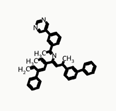 C=C\C(=C/C(=C\C)C(=C/C(C)c1cccc(-c2ccccc2)c1)/N=C(\C)c1cccc(-c2cncnc2)c1)c1ccccc1